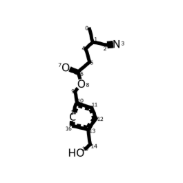 CC(C#N)CCC(=O)OCc1ccc(CO)cc1